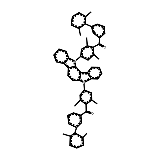 Cc1cc(-n2c3ccccc3c3c2ccc2c4ccccc4n(-c4cc(C)c(C(=O)c5cccc(-c6c(C)cccc6C)c5)c(C)c4)c23)cc(C)c1C(=O)c1cccc(-c2c(C)cccc2C)c1